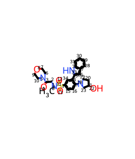 CN(CC(=O)N1CCOCC1)S(=O)(=O)c1ccc(N2CC[C@H](O)C2)c(-c2cc3ccccc3[nH]2)c1